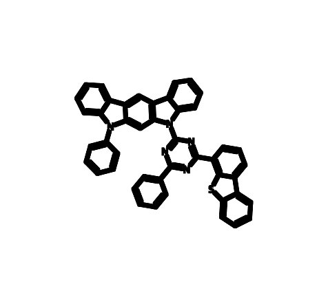 c1ccc(-c2nc(-c3cccc4c3sc3ccccc34)nc(-n3c4ccccc4c4cc5c6ccccc6n(-c6ccccc6)c5cc43)n2)cc1